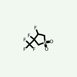 O=S1(=O)CC(F)C(F)(C(F)(F)F)C1